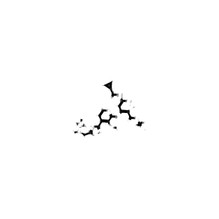 [2H]C([2H])([2H])NC(=O)c1nnc(NC(=O)C2CC2)cc1Nc1nccc(-c2noc(CN(C)S(C)(=O)=O)n2)c1OC